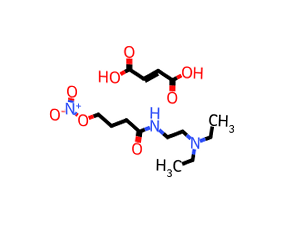 CCN(CC)CCNC(=O)CCCO[N+](=O)[O-].O=C(O)C=CC(=O)O